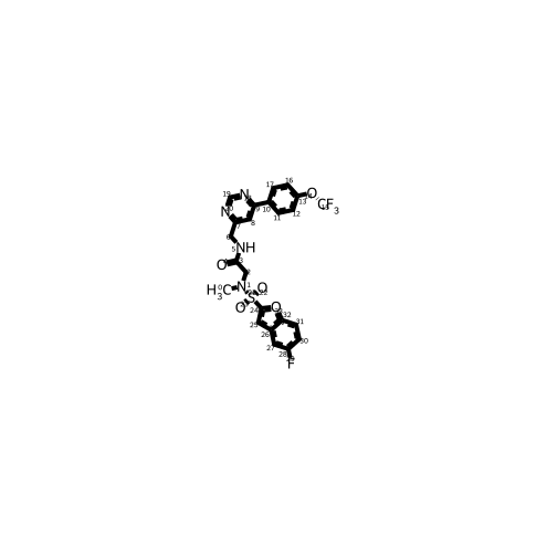 CN(CC(=O)NCc1cc(-c2ccc(OC(F)(F)F)cc2)ncn1)S(=O)(=O)c1cc2cc(F)ccc2o1